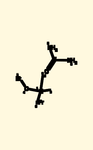 CCC[Si](C)(C)OCC.NC(N)=O